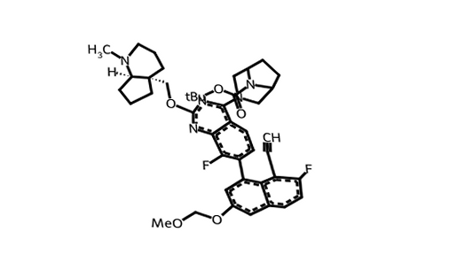 C#Cc1c(F)ccc2cc(OCOC)cc(-c3ccc4c(N5CC6CCC(C5)N6C(=O)OC(C)(C)C)nc(OC[C@]56CCC[C@H]5N(C)CCC6)nc4c3F)c12